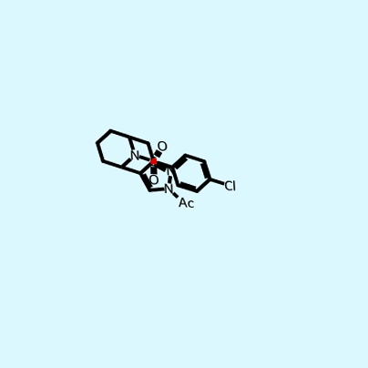 CC(=O)n1cc2c(n1)CC1CCCC2N1S(=O)(=O)c1ccc(Cl)cc1